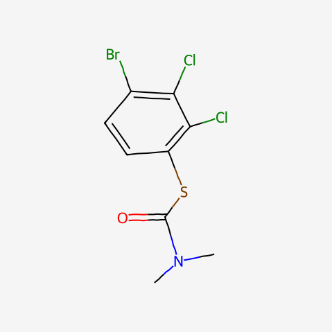 CN(C)C(=O)Sc1ccc(Br)c(Cl)c1Cl